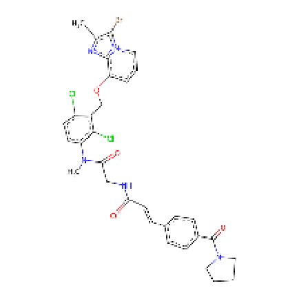 Cc1nc2c(OCc3c(Cl)ccc(N(C)C(=O)CNC(=O)/C=C/c4ccc(C(=O)N5CCCC5)cc4)c3Cl)cccn2c1Br